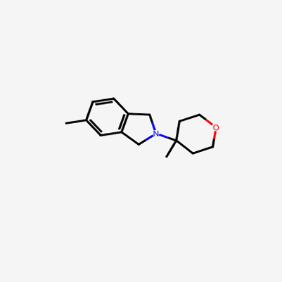 Cc1ccc2c(c1)CN(C1(C)CCOCC1)C2